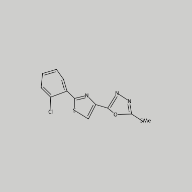 CSc1nnc(-c2csc(-c3ccccc3Cl)n2)o1